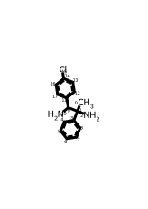 CC(N)(c1ccccc1)C(N)c1ccc(Cl)cc1